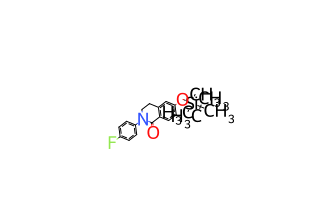 CC(C)(C)[Si](C)(C)Oc1ccc2c(c1)CCN(c1ccc(F)cc1)C2=O